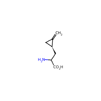 C=C1C[C@@H]1CC(N)C(=O)O